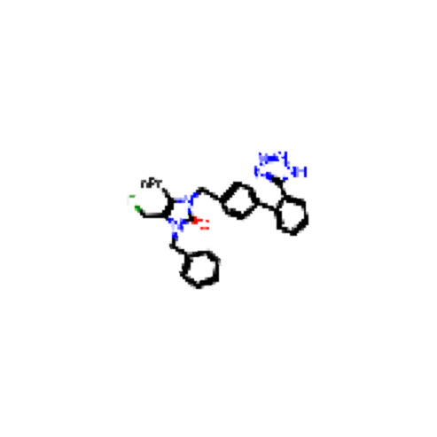 CCCc1c(CF)n(Cc2ccccc2)c(=O)n1Cc1ccc(-c2ccccc2-c2nnn[nH]2)cc1